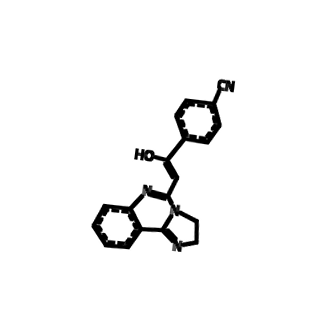 N#Cc1ccc(/C(O)=C/C2=Nc3ccccc3C3=NCCN23)cc1